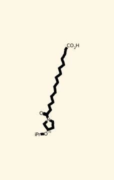 CC(C)O[C@H]1CCN(C(=O)CCCCCCCCCCCCCCC(=O)O)C1